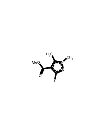 COC(=O)c1c(I)nn(C)c1C